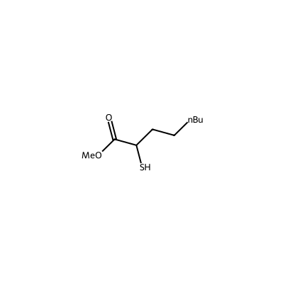 CCCCCCC(S)C(=O)OC